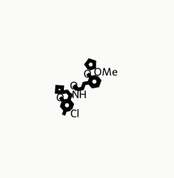 COc1cccc(CCC(=O)NC2CC3(CCC3)Oc3cc(C)c(Cl)cc32)c1OC1CCCC1